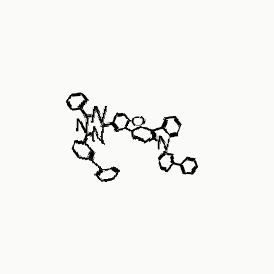 C1=CC2c3cc(-c4nc(-c5ccccc5)nc(-c5cccc(-c6ccccc6)c5)n4)ccc3OC2c2c1n(-c1cccc(-c3ccccc3)c1)c1ccccc21